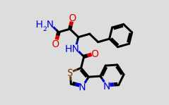 NC(=O)C(=O)C(CCc1ccccc1)NC(=O)c1scnc1-c1ccccn1